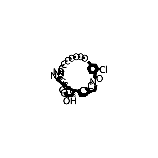 Cc1c2ccc3c1nnn3CCCCCCOc1ccc(c(Cl)c1)C(=O)N1CCc3ccc(cc3C1)C2CC(=O)O